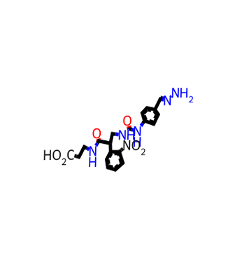 NN=Cc1ccc(NC(=O)NCC(C(=O)NCCC(=O)O)c2ccccc2[N+](=O)[O-])cc1